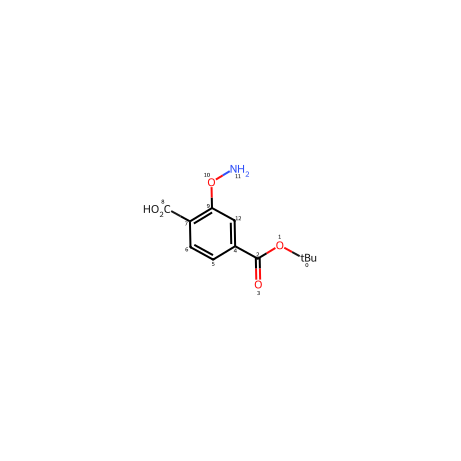 CC(C)(C)OC(=O)c1ccc(C(=O)O)c(ON)c1